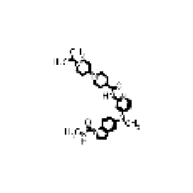 CNC(=O)n1ccc2cc(N(C)c3ccnc(NC(=O)C4CCN(C5CCN(C(C)C)CC5)CC4)c3)ccc21